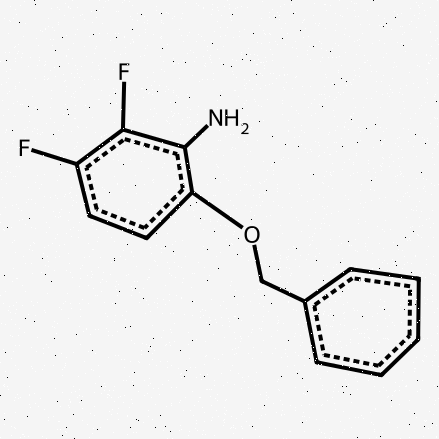 Nc1c(OCc2ccccc2)ccc(F)c1F